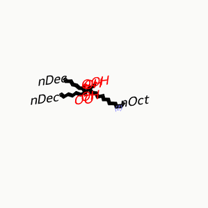 CCCCCCCC/C=C\CCCCCCCC(=O)C(O)(CO)C(O)(C(=O)CCCCCCCCCCCCCCC)C(=O)CCCCCCCCCCCCCCC